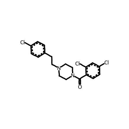 O=C(c1ccc(Cl)cc1Cl)N1CCN(CCc2ccc(Cl)cc2)CC1